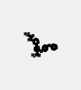 C=CC(=O)N[C@@H]1CCCN(c2ccc(C(N)=O)c(Oc3ccc(Oc4ccccc4)cc3)n2)C1